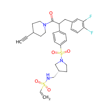 C#CC1CCN(C(=O)C(Cc2ccc(F)c(F)c2)c2ccc(S(=O)(=O)N3CC[C@H](CNS(=O)(=O)C=C)C3)cc2)CC1